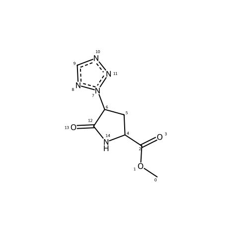 COC(=O)C1CC(n2ncnn2)C(=O)N1